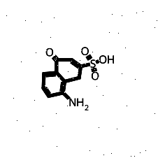 Nc1cccc2c1CC(S(=O)(=O)O)=CC2=O